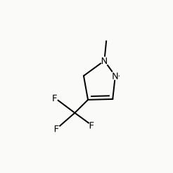 CN1CC(C(F)(F)F)=C[N]1